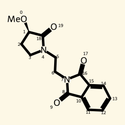 CO[C@@H]1CCN(CCN2C(=O)c3ccccc3C2=O)C1=O